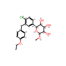 CCOc1ccc(Cc2cc([C@@H]3OC(OC)C(O)C(O)C3O)ccc2Cl)cc1